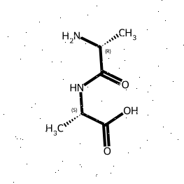 C[C@H](NC(=O)[C@@H](C)N)C(=O)O